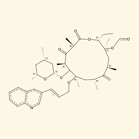 C=C1[C@H](C)C[C@@](C)(OC/C=C/c2cnc3ccccc3c2)C(O[C@H]2C[C@@H](C)C[C@@H](C)O2)[C@@H](C)C(=O)[C@@H](C)C(=O)O[C@H](CC)[C@@](C)(OC=O)C[C@H]1C